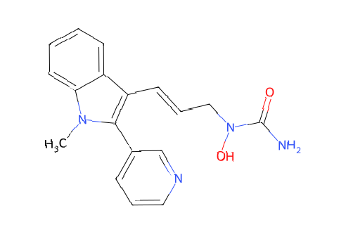 Cn1c(-c2cccnc2)c(C=CCN(O)C(N)=O)c2ccccc21